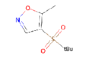 Cc1oncc1S(=O)(=O)C(C)(C)C